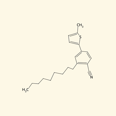 CCCCCCCCCc1cc(-c2ccc(C)s2)ccc1C#N